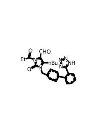 CCCCc1c(C=O)n(C(=O)CC)c(=O)n1Cc1ccc(-c2ccccc2-c2nnn[nH]2)cc1